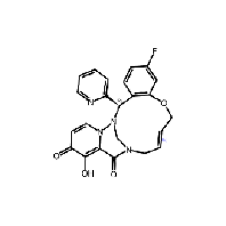 O=C1c2c(O)c(=O)ccn2N2CN1C/C=C/COc1cc(F)ccc1[C@@H]2c1ccccn1